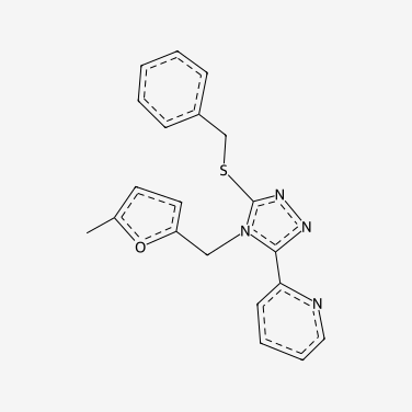 Cc1ccc(Cn2c(SCc3ccccc3)nnc2-c2ccccn2)o1